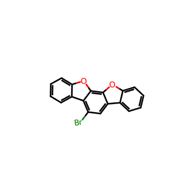 Brc1cc2c3ccccc3oc2c2oc3ccccc3c12